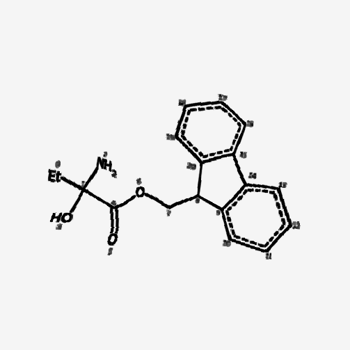 CCC(N)(O)C(=O)OCC1c2ccccc2-c2ccccc21